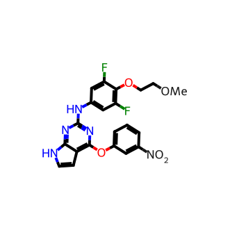 COCCOc1c(F)cc(Nc2nc(Oc3cccc([N+](=O)[O-])c3)c3cc[nH]c3n2)cc1F